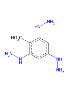 NNc1cc(NN)c(C(=O)O)c(NN)c1